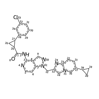 O=C(Nc1nccc2c1cnn2Cc1cn2cc(C3CC3)ccc2n1)C1CC1c1cccc(Cl)c1